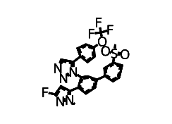 Cn1nc(F)cc1-c1ccc(-c2cccc(S(C)(=O)=O)c2)cc1-n1nncc1-c1ccc(OC(F)(F)F)cc1